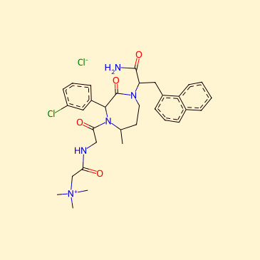 CC1CCN(C(Cc2cccc3ccccc23)C(N)=O)C(=O)C(c2cccc(Cl)c2)N1C(=O)CNC(=O)C[N+](C)(C)C.[Cl-]